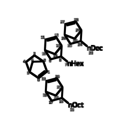 C1=CC2CCC1C2.CCCCCCC1CC2C=CC1C2.CCCCCCCCC1CC2C=CC1C2.CCCCCCCCCCC1CC2C=CC1C2